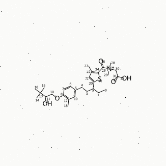 CCC(CCc1ccc(OCC(O)C(C)(C)C)c(C)c1)c1cc(C)c(C(=O)[N+](C)(C)CC(=O)O)s1